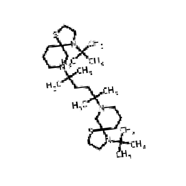 CC(C)(C)N1CCSC12CCCN(C(C)(C)CCC(C)(C)N1CCCC3(C1)SCCN3C(C)(C)C)C2